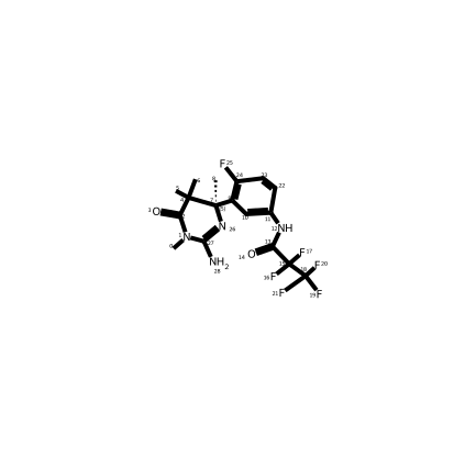 CN1C(=O)C(C)(C)[C@@](C)(c2cc(NC(=O)C(F)(F)C(F)(F)F)ccc2F)N=C1N